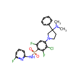 CN(C)C1(c2ccccc2)CCN(c2cc(F)c(S(=O)(=O)Nc3cccc(F)n3)c(F)c2Cl)C1